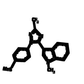 CSc1ccc(-n2nc(C(F)(F)F)nc2-c2cn(C)c3ccccc23)cc1